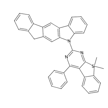 C[Si]1(C)c2ccccc2-c2c(-c3ccccc3)nc(-n3c4ccccc4c4cc5c(cc43)Cc3ccccc3-5)nc21